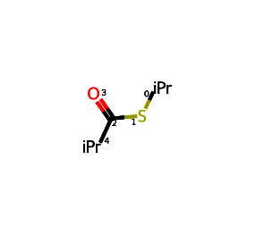 CC(C)SC(=O)C(C)C